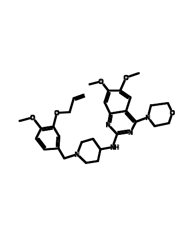 C=CCOc1cc(CN2CCC(Nc3nc(N4CCOCC4)c4cc(OC)c(OC)cc4n3)CC2)ccc1OC